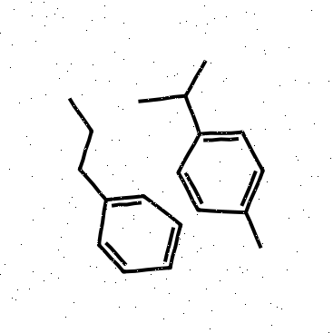 CCCc1ccccc1.Cc1ccc(C(C)C)cc1